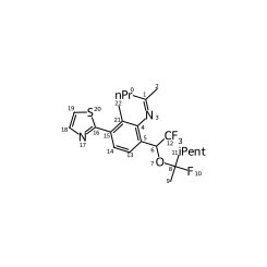 CCC/C(C)=N\c1c(C(OC(C)(F)C(C)CCC)C(F)(F)F)ccc(-c2nccs2)c1C